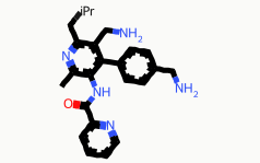 Cc1nc(CC(C)C)c(CN)c(-c2ccc(CN)cc2)c1NC(=O)c1ccccn1